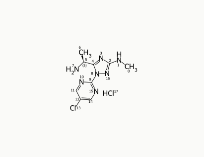 CNc1nc([C@H](C)N)n(-c2ncc(Cl)cn2)n1.Cl